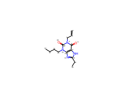 C=CCn1c(=O)c2[nH]c(CC)nc2n(CCCC)c1=O